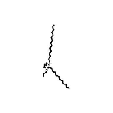 CCCCCCCCCCCCCCC[n+]1ccn(CCC)c1CCCCCCCCCCC